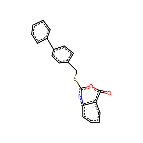 O=c1oc(SCc2ccc(-c3ccccc3)cc2)nc2ccccc12